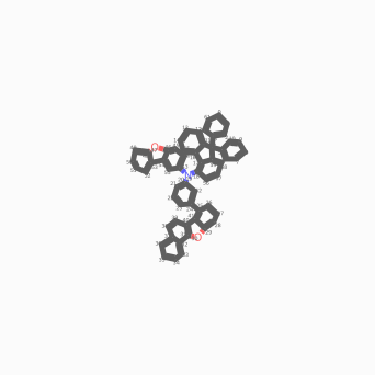 c1ccc(C2(c3ccccc3)c3ccccc3-c3c(N(c4cccc(-c5cccc6oc7c8ccccc8ccc7c56)c4)c4ccc5oc6ccccc6c5c4)cccc32)cc1